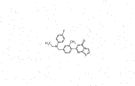 CCN(Cc1ccc(-c2cc(=O)n3ccsc3n2)c(C)c1)c1ccc(F)cc1